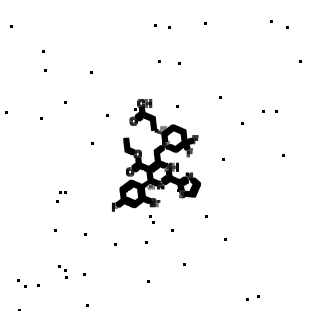 CCOC(=O)C1=C(CN2CC(F)(F)CC[C@H]2CCC(=O)O)NC(c2nccs2)=N[C@H]1c1ccc(F)cc1Br